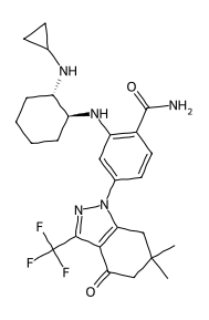 CC1(C)CC(=O)c2c(C(F)(F)F)nn(-c3ccc(C(N)=O)c(N[C@H]4CCCC[C@@H]4NC4CC4)c3)c2C1